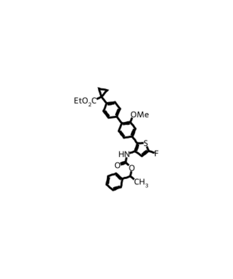 CCOC(=O)C1(c2ccc(-c3ccc(-c4sc(F)cc4NC(=O)OC(C)c4ccccc4)cc3OC)cc2)CC1